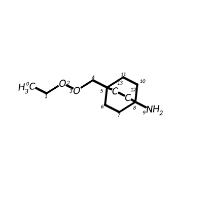 CCOOCC12CCC(N)(CC1)CC2